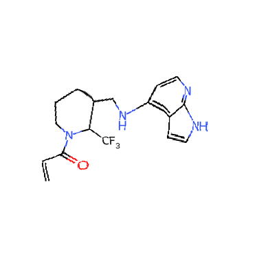 C=CC(=O)N1CCCC(CNc2ccnc3[nH]ccc23)C1C(F)(F)F